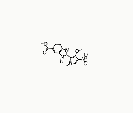 COC(=O)c1ccc2nc(-c3c(OC)c([N+](=O)[O-])cn3C)[nH]c2c1